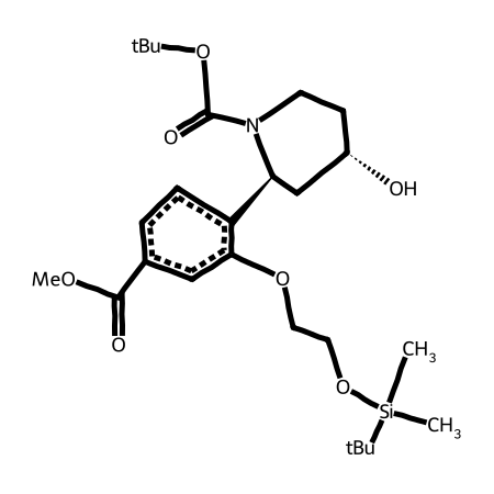 COC(=O)c1ccc([C@@H]2C[C@@H](O)CCN2C(=O)OC(C)(C)C)c(OCCO[Si](C)(C)C(C)(C)C)c1